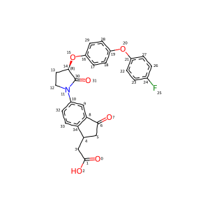 O=C(O)CC1CC(=O)c2cc(N3CC[C@@H](Oc4ccc(Oc5ccc(F)cc5)cc4)C3=O)ccc21